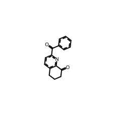 O=C(c1ccccc1)c1ccc2c(n1)C(=O)CCC2